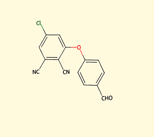 N#Cc1cc(Cl)cc(Oc2ccc(C=O)cc2)c1C#N